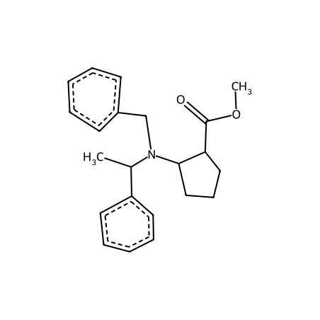 COC(=O)C1CCCC1N(Cc1ccccc1)C(C)c1ccccc1